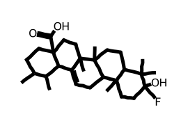 CC1CCC2(C(=O)O)CCC3(C)C(=CCC4C5(C)CCC(O)(F)C(C)(C)C5CCC43C)C2C1C